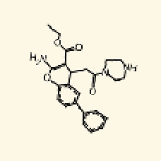 CCOC(=O)C1=C(N)Oc2ccc(-c3ccccc3)cc2C1CC(=O)N1CCNCC1